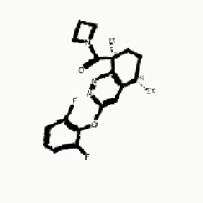 CC[C@H]1CC[C@](CC)(C(=O)N2CCC2)c2nnc(Oc3c(F)cccc3F)cc21